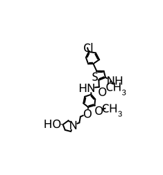 CNc1cc(-c2ccc(Cl)cc2)sc1C(=O)Nc1ccc(OCCN2CC[C@H](O)C2)c(OC)c1